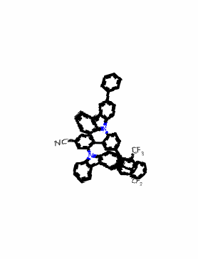 N#Cc1ccc(-c2cc(-c3ccc(C(F)(F)F)cc3C(F)(F)F)ccc2-n2c3ccccc3c3cc(-c4ccccc4)ccc32)c(-n2c3ccccc3c3cc(-c4ccccc4)ccc32)c1